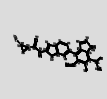 CCN(C)c1c(F)c(SC)c(-c2ccc3nc(NC(=O)[C@@H]4C[C@@H]4F)sc3n2)c2cn[nH]c12